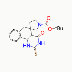 CC(C)(C)OC(=O)N1CCC2(Cc3ccccc3C3NC(=S)NC(=O)C32)C1